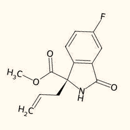 C=CC[C@]1(C(=O)OC)NC(=O)c2cc(F)ccc21